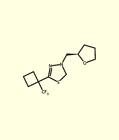 FC(F)(F)C1(C2=NN(C[C@H]3CCCO3)CS2)CCC1